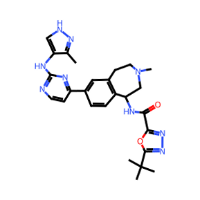 Cc1n[nH]cc1Nc1nccc(-c2ccc3c(c2)CCN(C)CC3NC(=O)c2nnc(C(C)(C)C)o2)n1